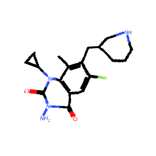 Cc1c([CH]C2CCCNC2)c(F)cc2c(=O)n(N)c(=O)n(C3CC3)c12